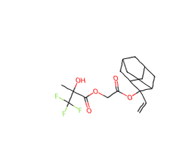 C=CC1(OC(=O)COC(=O)C(C)(O)C(F)(F)F)C2CC3CC(C2)CC1C3